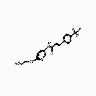 O=C(/C=C/c1ccc(C(F)(F)F)cc1)Nc1ccc(OCCO)nc1